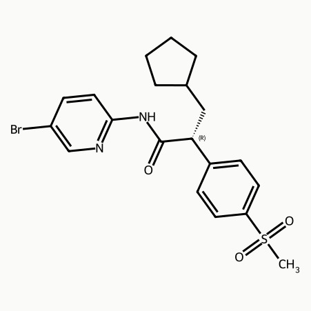 CS(=O)(=O)c1ccc([C@@H](CC2CCCC2)C(=O)Nc2ccc(Br)cn2)cc1